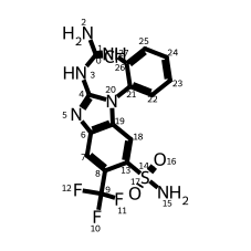 N=C(N)Nc1nc2cc(C(F)(F)F)c(S(N)(=O)=O)cc2n1-c1ccccc1Cl